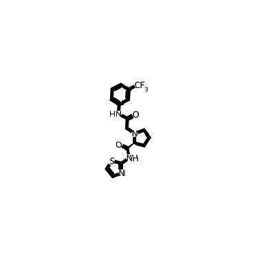 O=C(CN1CCC[C@H]1C(=O)Nc1nccs1)Nc1cccc(C(F)(F)F)c1